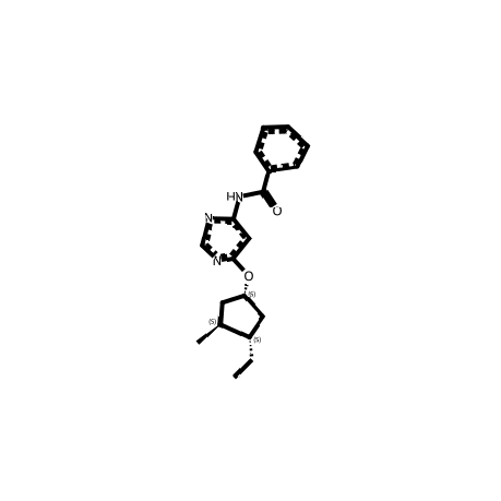 CC[C@H]1C[C@@H](Oc2cc(NC(=O)c3ccccc3)ncn2)C[C@@H]1C